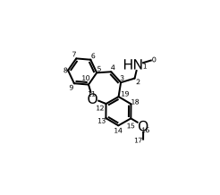 CNCC1=Cc2ccccc2Oc2ccc(OC)cc21